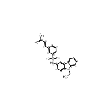 CCn1c2ccccc2c2cc(NS(=O)(=O)c3cccc(C=CC(=O)O)c3)ccc21